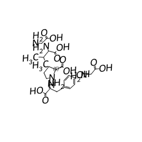 CC(C)C(N)C(=O)O.NC(Cc1ccc(O)cc1)C(=O)O.NCC(=O)O.NCC(=O)O.O=C(O)[C@@H]1CCCN1